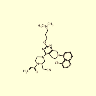 C=CC(=O)N1CCN(c2nc(OCCCN(C)C)nc3c2CCN(c2cccc4cccc(Cl)c24)C3)CC1CC#N